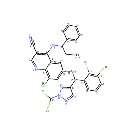 CCC(Nc1c(C#N)cnc2c(Cl)cc(NC(c3cnn(C(F)F)n3)c3cccc(F)c3F)cc12)c1ccccc1